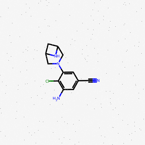 N#Cc1cc(N)c(Cl)c(N2CC3CC(C2)N3)c1